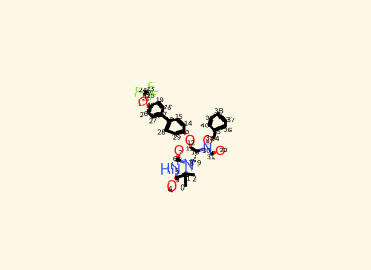 CC1(C)C(=O)NC(=O)N1C[C@H](COc1ccc(-c2ccc(OC(F)(F)F)cc2)cc1)N(C=O)OCc1ccccc1